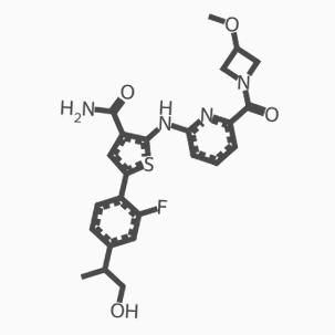 COC1CN(C(=O)c2cccc(Nc3sc(-c4ccc(C(C)CO)cc4F)cc3C(N)=O)n2)C1